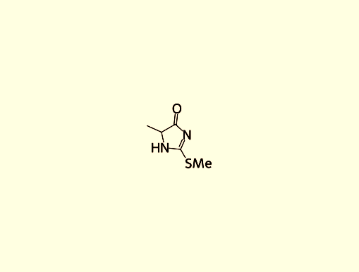 CSC1=NC(=O)C(C)N1